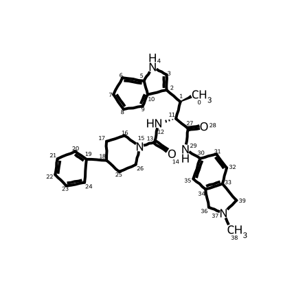 C[C@H](c1c[nH]c2ccccc12)[C@@H](NC(=O)N1CCC(c2ccccc2)CC1)C(=O)Nc1ccc2c(c1)CN(C)C2